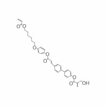 C=CC(=O)OCCCCCCOc1ccc(OC(=O)/C=C/c2ccc(-c3ccc(OC(=O)C(=C)CO)cc3)cc2)cc1